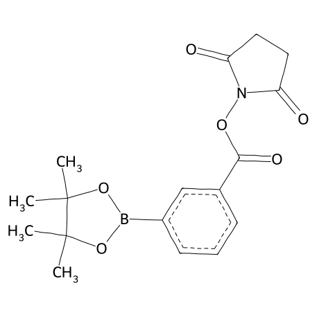 CC1(C)OB(c2cccc(C(=O)ON3C(=O)CCC3=O)c2)OC1(C)C